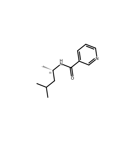 [CH2][C@@H](CC(C)C)NC(=O)c1cccnc1